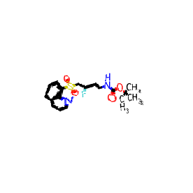 CC(C)(C)OC(=O)NCC=C(F)CS(=O)(=O)c1cccc2cccnc12